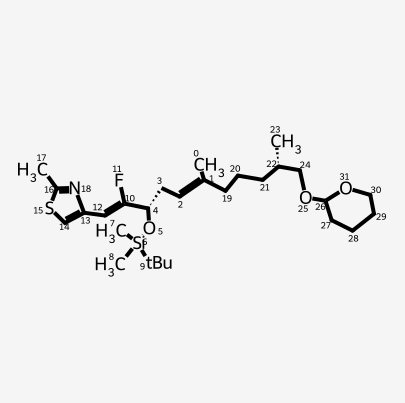 C/C(=C\C[C@H](O[Si](C)(C)C(C)(C)C)/C(F)=C/c1csc(C)n1)CCC[C@H](C)COC1CCCCO1